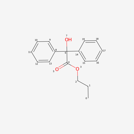 CCCOC(=O)C(O)(c1ccccc1)c1ccccc1